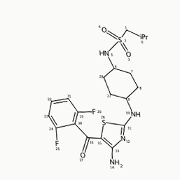 CC(C)CS(=O)(=O)NC1CCC(Nc2nc(N)c(C(=O)c3c(F)cccc3F)s2)CC1